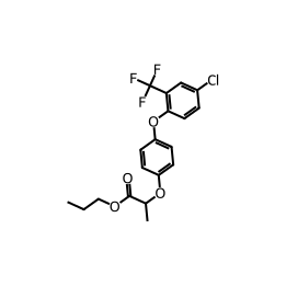 CCCOC(=O)C(C)Oc1ccc(Oc2ccc(Cl)cc2C(F)(F)F)cc1